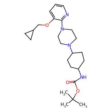 CC(C)(C)OC(=O)NC1CCC(N2CCN(c3ncccc3OCC3CC3)CC2)CC1